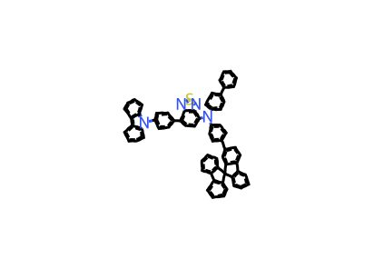 c1ccc(-c2ccc(N(c3ccc(-c4ccc5c(c4)C4(c6ccccc6-c6ccccc64)c4ccccc4-5)cc3)c3ccc(-c4ccc(-n5c6ccccc6c6ccccc65)cc4)c4nsnc34)cc2)cc1